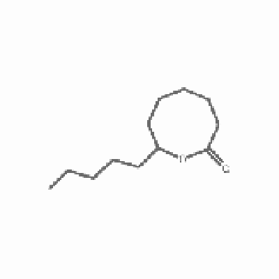 CCCCCC1CCCCCC(=O)O1